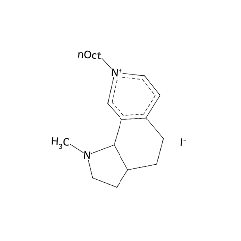 CCCCCCCC[n+]1ccc2c(c1)C1C(CC2)CCN1C.[I-]